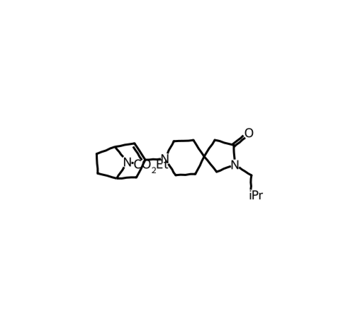 CCOC(=O)N1C2C=C(N3CCC4(CC3)CC(=O)N(CC(C)C)C4)CC1CC2